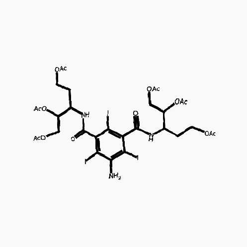 CC(=O)OCCC(NC(=O)c1c(I)c(N)c(I)c(C(=O)NC(CCOC(C)=O)C(COC(C)=O)OC(C)=O)c1I)C(COC(C)=O)OC(C)=O